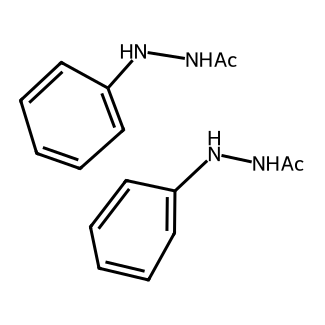 CC(=O)NNc1ccccc1.CC(=O)NNc1ccccc1